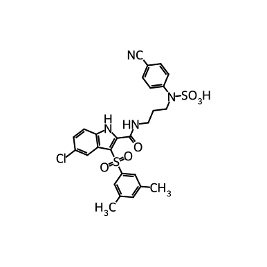 Cc1cc(C)cc(S(=O)(=O)c2c(C(=O)NCCCN(c3ccc(C#N)cc3)S(=O)(=O)O)[nH]c3ccc(Cl)cc23)c1